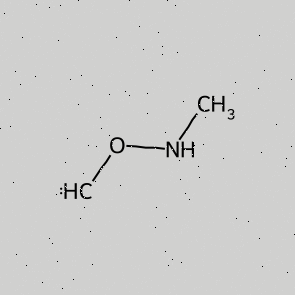 [CH]ONC